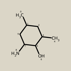 CC1CC(C)C(O)C(N)C1